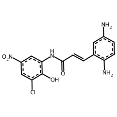 Nc1ccc(N)c(C=CC(=O)Nc2cc([N+](=O)[O-])cc(Cl)c2O)c1